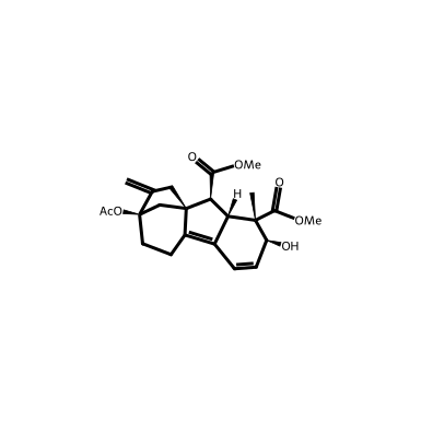 C=C1C[C@]23C[C@]1(OC(C)=O)CCC2=C1C=C[C@H](O)[C@@](C)(C(=O)OC)[C@H]1[C@@H]3C(=O)OC